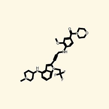 COc1cc(C(=O)N2CCOCC2)ccc1NCC#Cc1cc2c(NC3CCN(C)CC3)cccc2n1CC(F)(F)F